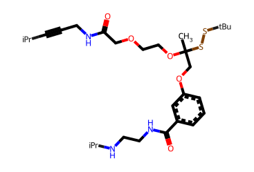 CC(C)C#CCNC(=O)COCCOC(C)(COc1cccc(C(=O)NCCNC(C)C)c1)SSC(C)(C)C